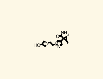 CC1CC1(C(N)=O)c1cnn(CCN2CC(O)C2)c1